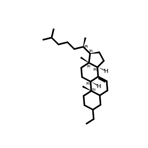 CCC1CC[C@@]2(C)C(CC=C3[C@@H]4CC[C@H]([C@H](C)CCCC(C)C)[C@@]4(C)CC[C@@H]32)C1